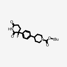 CC(C)(C)OC(=O)N1CCC(c2ccc(C3(F)CCC(=O)NC3=O)cc2)CC1